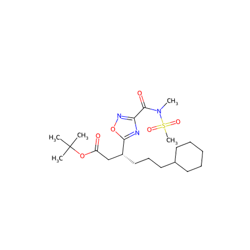 CN(C(=O)c1noc([C@H](CCCC2CCCCC2)CC(=O)OC(C)(C)C)n1)S(C)(=O)=O